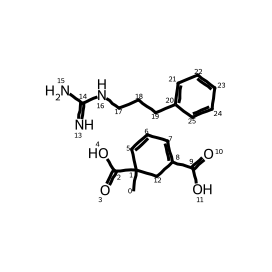 CC1(C(=O)O)C=CC=C(C(=O)O)C1.N=C(N)NCCCc1ccccc1